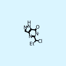 CCC(Cl)C1=Nc2cn[nH]c2C(=O)[N]1